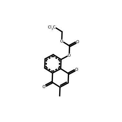 CC1=CC(=O)c2c(OC(=O)OCC(Cl)(Cl)Cl)cccc2C1=O